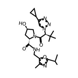 Cc1nc(C(C)C)oc1CNC(=O)[C@@H]1C[C@@H](O)CN1C(=O)[C@@H](n1cc(C2CC2)nn1)C(C)(C)C